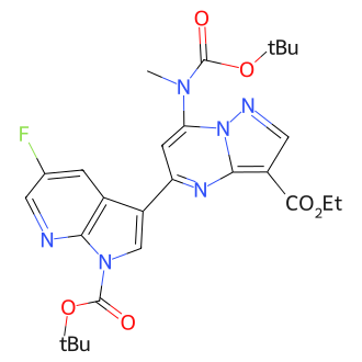 CCOC(=O)c1cnn2c(N(C)C(=O)OC(C)(C)C)cc(-c3cn(C(=O)OC(C)(C)C)c4ncc(F)cc34)nc12